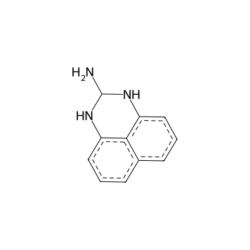 NC1Nc2cccc3cccc(c23)N1